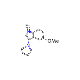 CCn1cc(-n2cccc2)c2cc(OC)ccc21